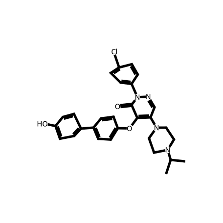 CC(C)N1CCN(c2cnn(-c3ccc(Cl)cc3)c(=O)c2Oc2ccc(-c3ccc(O)cc3)cc2)CC1